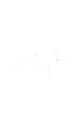 FP(F)F.O=C([O-])C(=O)[O-].[Li+].[Li+]